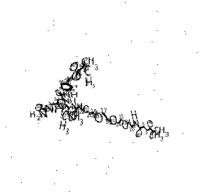 CC(C)C(=O)CCC(=O)NCCOCCOCCOCCOCCC(=O)N[C@H](C(=O)N[C@@H](CCCNC(N)=O)C(=O)Nc1ccc(COC(=O)C(C)C)cc1)C(C)C